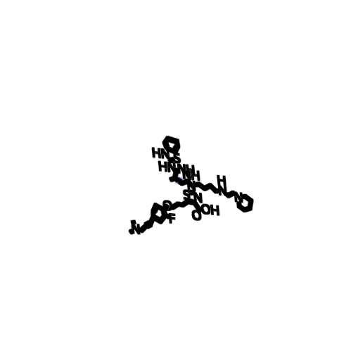 C/C(=C/C(=N)N(CCCCNCCN1CCCCC1)c1nc(C(=O)O)c(CCCOc2ccc(C#CCN(C)C)cc2F)s1)C(=N)NC1Nc2ccccc2S1